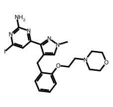 Cn1cc(Cc2ccccc2OCCN2CCOCC2)c(-c2cc(I)nc(N)n2)n1